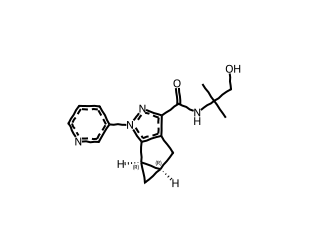 CC(C)(CO)NC(=O)c1nn(-c2cccnc2)c2c1C[C@H]1C[C@@H]21